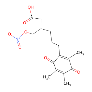 CC1=C(C)C(=O)C(CCCC(CO[N+](=O)[O-])CC(=O)O)=C(C)C1=O